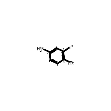 CCc1ccc(N)cc1I